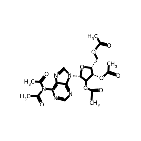 CC(=O)OC[C@H]1O[C@@H](n2cnc3c(N(C(C)=O)C(C)=O)ncnc32)C(OC(C)=O)[C@H]1OC(C)=O